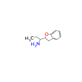 CCC(N)C1Cc2ccccc2O1